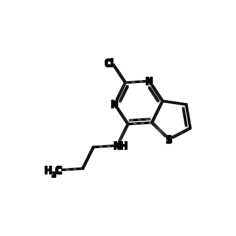 CCCNc1nc(Cl)nc2ccsc12